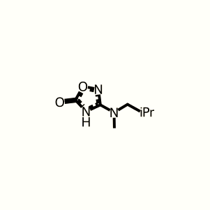 CC(C)CN(C)c1noc(=O)[nH]1